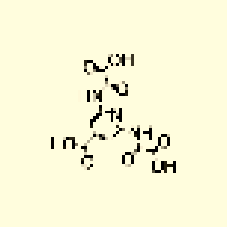 O=C(O)C(=O)Nc1cc(C(=O)O)cc(NC(=O)C(=O)O)n1